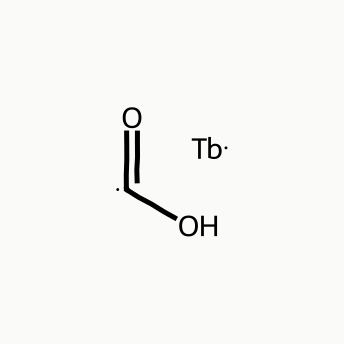 O=[C]O.[Tb]